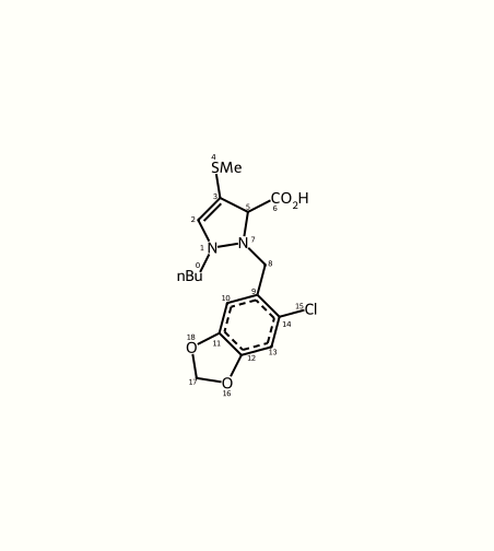 CCCCN1C=C(SC)C(C(=O)O)N1Cc1cc2c(cc1Cl)OCO2